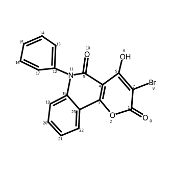 O=c1oc2c(c(O)c1Br)c(=O)n(-c1ccccc1)c1ccccc21